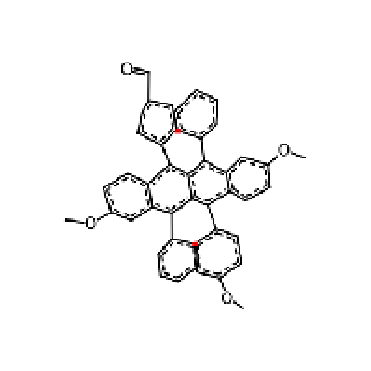 COc1ccc(-c2c3ccc(OC)cc3c(-c3ccccc3)c3c(-c4ccc(C=O)cc4)c4ccc(OC)cc4c(-c4ccccc4)c23)cc1